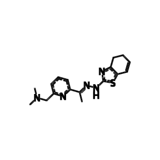 C/C(=N\Nc1nc2c(s1)C=CCC2)c1cccc(CN(C)C)n1